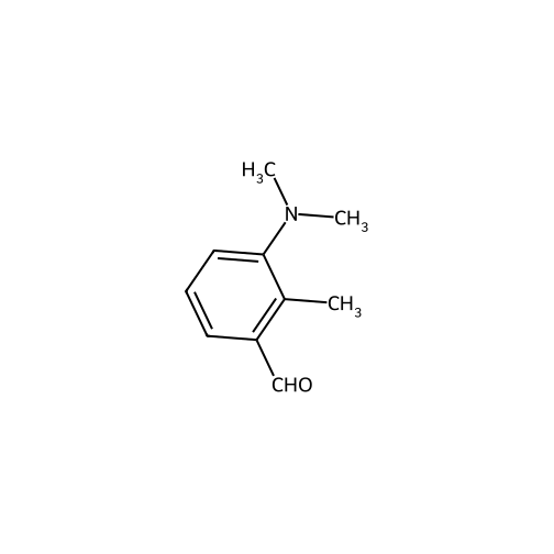 Cc1c(C=O)cccc1N(C)C